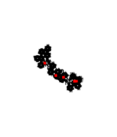 c1ccc2c(c1)Oc1ccc(-c3cccc4oc5c(-c6nc(-c7ccc8c9ccccc9c9ccccc9c8c7)nc(-c7ccccc7-c7cccc8ccccc78)n6)cccc5c34)cc1C21c2ccccc2-c2ccc(-c3nc(-c4ccccc4-c4cccc5ccccc45)nc(-c4cccc5c4oc4ccccc45)n3)cc21